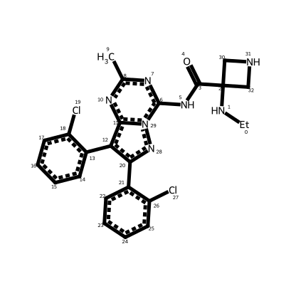 CCNC1(C(=O)Nc2nc(C)nc3c(-c4ccccc4Cl)c(-c4ccccc4Cl)nn23)CNC1